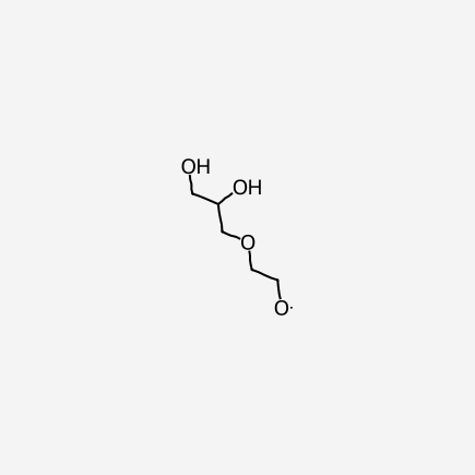 [O]CCOCC(O)CO